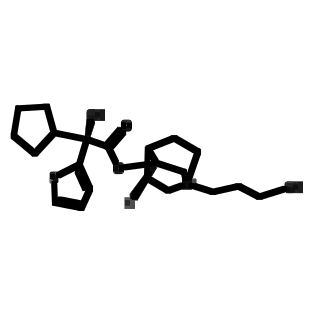 O=C(O[C@H]1C[N+]2(CCCO)CCC1CC2)[C@](O)(c1cccs1)C1CCCC1